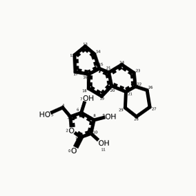 O=c1oc(CO)c(O)c(O)c1O.c1ccc2c(c1)ccc1c3c(ccc12)CCCC3